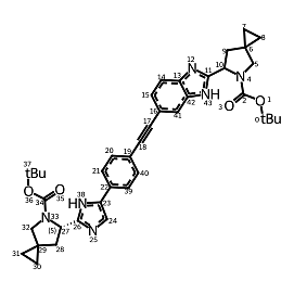 CC(C)(C)OC(=O)N1CC2(CC2)CC1c1nc2ccc(C#Cc3ccc(-c4cnc([C@@H]5CC6(CC6)CN5C(=O)OC(C)(C)C)[nH]4)cc3)cc2[nH]1